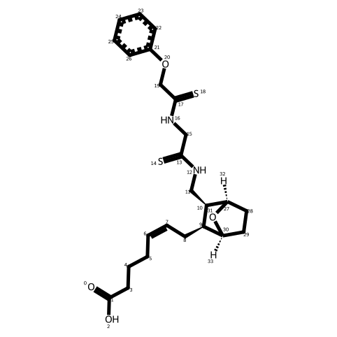 O=C(O)CCC/C=C\C[C@H]1[C@@H](CNC(=S)CNC(=S)COc2ccccc2)[C@H]2CC[C@@H]1O2